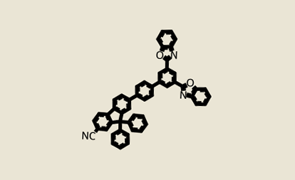 N#Cc1ccc2c(c1)C(c1ccccc1)(c1ccccc1)c1cc(-c3ccc(-c4cc(-c5nc6ccccc6o5)cc(-c5nc6ccccc6o5)c4)cc3)ccc1-2